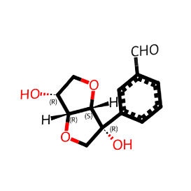 O=Cc1cccc([C@@]2(O)CO[C@@H]3[C@H](O)CO[C@@H]32)c1